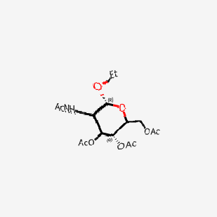 CCO[C@@H]1OC(COC(C)=O)[C@H](OC(C)=O)C(OC(C)=O)C1NC(C)=O